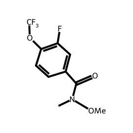 CON(C)C(=O)c1ccc(OC(F)(F)F)c(F)c1